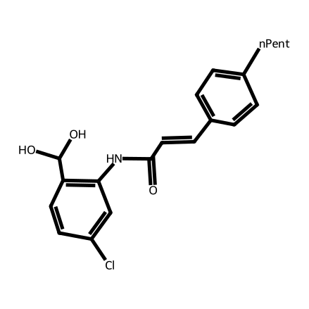 CCCCCc1ccc(/C=C/C(=O)Nc2cc(Cl)ccc2C(O)O)cc1